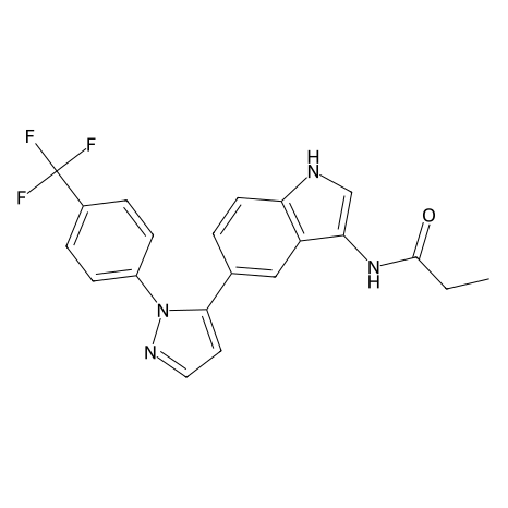 CCC(=O)Nc1c[nH]c2ccc(-c3ccnn3-c3ccc(C(F)(F)F)cc3)cc12